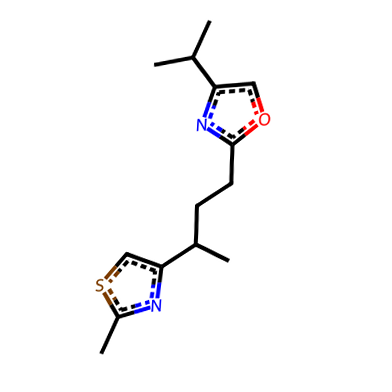 Cc1nc(C(C)CCc2nc(C(C)C)co2)cs1